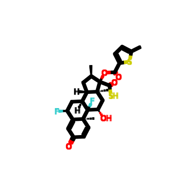 Cc1ccc(C(=O)O[C@]2(C(=O)S)[C@H](C)C[C@H]3[C@@H]4C[C@H](F)C5=CC(=O)C=C[C@]5(C)[C@@]4(F)[C@@H](O)C[C@@]32C)s1